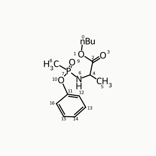 CCCCOC(=O)C(C)NP(C)(=O)Oc1ccccc1